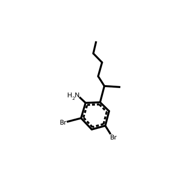 CCCCC(C)c1cc(Br)cc(Br)c1N